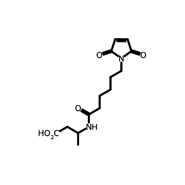 CC(CC(=O)O)NC(=O)CCCCCN1C(=O)C=CC1=O